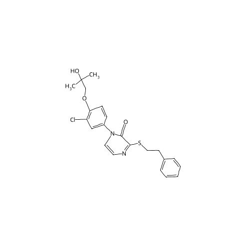 CC(C)(O)COc1ccc(-n2ccnc(SCCc3ccccc3)c2=O)cc1Cl